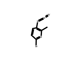 Cc1nc(Br)ccc1N=[N+]=[N-]